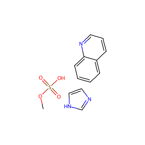 COS(=O)(=O)O.c1c[nH]cn1.c1ccc2ncccc2c1